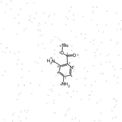 CC(C)(C)OC(=O)c1ncc(N)cc1N